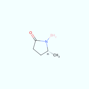 BN1C(=O)CC[C@H]1C